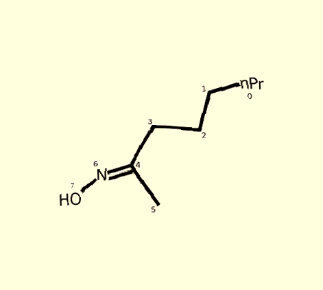 CCCCCC/C(C)=N/O